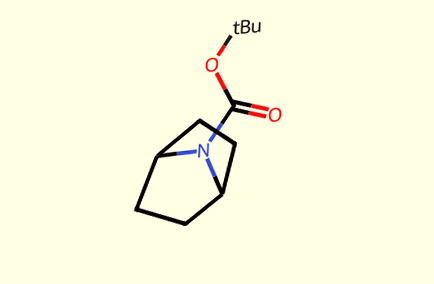 CC(C)(C)OC(=O)N1C2CCC1CC2